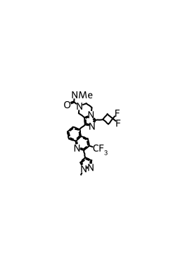 CNC(=O)N1CCn2c(C3CC(F)(F)C3)nc(-c3cccc4nc(-c5cnn(C)c5)c(C(F)(F)F)cc34)c2C1